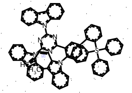 C#C/C=C\c1c(C)c2ccccc2n1-c1ccc(-c2ccccc2S(c2ccccc2)(c2ccccc2)c2ccccc2)cc1-c1nc(-n2c3ccccc3c3ccccc32)nc(-n2c3ccccc3c3ccccc32)n1